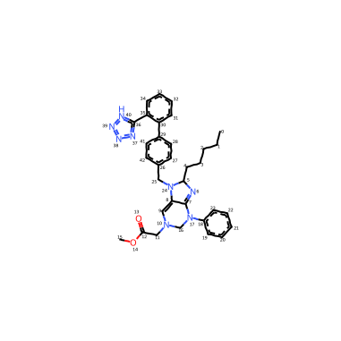 CCCCCC1N=C2C(=CN(CC(=O)OC)CN2c2ccccc2)N1Cc1ccc(-c2ccccc2-c2nnn[nH]2)cc1